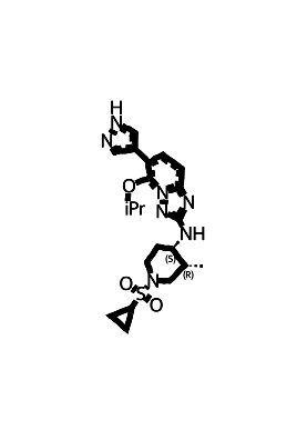 CC(C)Oc1c(-c2cn[nH]c2)ccc2nc(N[C@H]3CCN(S(=O)(=O)C4CC4)C[C@H]3C)nn12